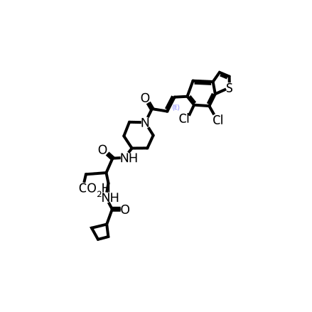 O=C(O)CC(CNC(=O)C1CCC1)C(=O)NC1CCN(C(=O)/C=C/c2cc3ccsc3c(Cl)c2Cl)CC1